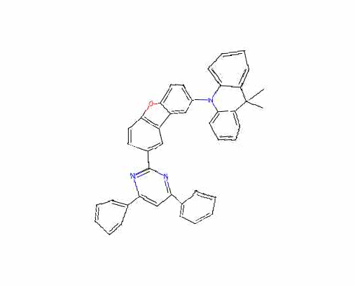 CC1(C)c2ccccc2N(c2ccc3oc4ccc(-c5nc(-c6ccccc6)cc(-c6ccccc6)n5)cc4c3c2)c2ccccc21